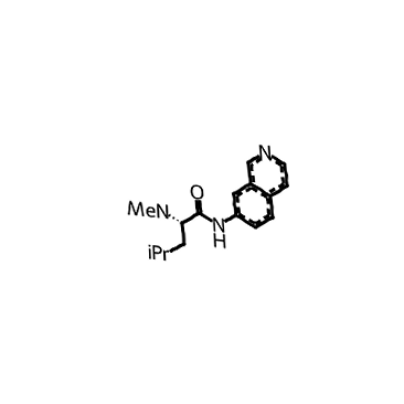 CN[C@@H](CC(C)C)C(=O)Nc1ccc2ccncc2c1